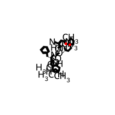 CC1(C)[C@@H]2C[C@H]3OB([C@H](Cc4ccccc4)NC(=O)OC[C@H]4CCCCN4C(=O)/C(C#N)=C\C(C)(C)N4CCCC4)O[C@@]3(C)[C@H]1C2